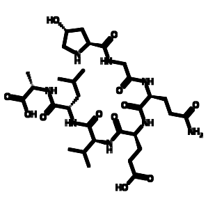 CC(C)C[C@H](NC(=O)[C@@H](NC(=O)[C@H](CCC(=O)O)NC(=O)[C@H](CCC(N)=O)NC(=O)CNC(=O)[C@@H]1C[C@@H](O)CN1)C(C)C)C(=O)N[C@@H](C)C(=O)O